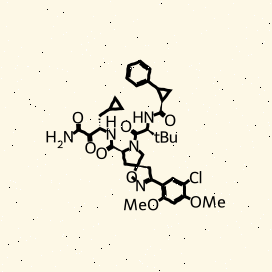 COc1cc(OC)c(C2=NO[C@]3(C2)C[C@@H](C(=O)N[C@@H](CC2CC2)C(=O)C(N)=O)N(C(=O)[C@@H](NC(=O)[C@@H]2CC2c2ccccc2)C(C)(C)C)C3)cc1Cl